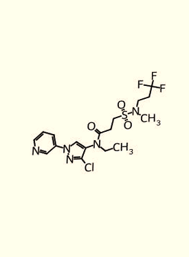 CCN(C(=O)CCS(=O)(=O)N(C)CCC(F)(F)F)c1cn(-c2cccnc2)nc1Cl